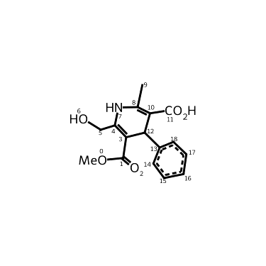 COC(=O)C1=C(CO)NC(C)=C(C(=O)O)C1c1ccccc1